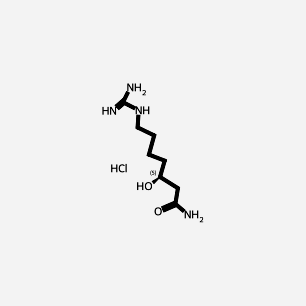 Cl.N=C(N)NCCCC[C@H](O)CC(N)=O